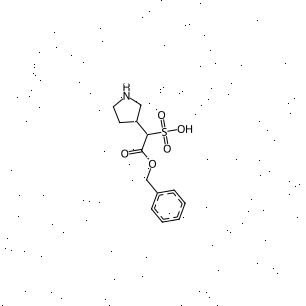 O=C(OCc1ccccc1)C(C1CCNC1)S(=O)(=O)O